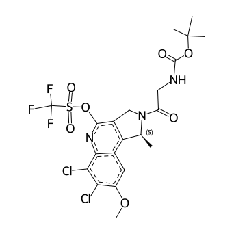 COc1cc2c3c(c(OS(=O)(=O)C(F)(F)F)nc2c(Cl)c1Cl)CN(C(=O)CNC(=O)OC(C)(C)C)[C@H]3C